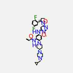 C=CC(=O)Nc1cc(Nc2cc(N3OCC[C@@H]3c3cc(F)ccc3F)ncn2)c(OC)cc1N1CCC(N2CCN(CC3CC3)CC2)CC1